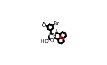 COc1cc(Br)cc([C@H](CC(=O)O)N(Cc2ccccc2)[C@H](C)c2ccccc2)c1